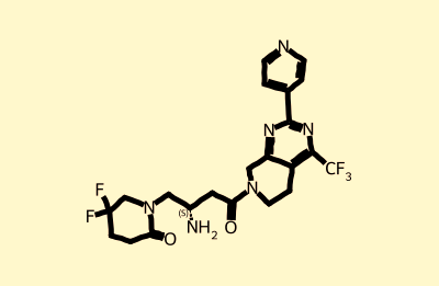 N[C@@H](CC(=O)N1CCc2c(nc(-c3ccncc3)nc2C(F)(F)F)C1)CN1CC(F)(F)CCC1=O